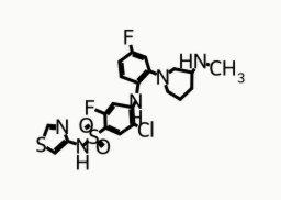 CNC1CCCN(c2cc(F)ccc2Nc2cc(F)c(S(=O)(=O)Nc3cscn3)cc2Cl)C1